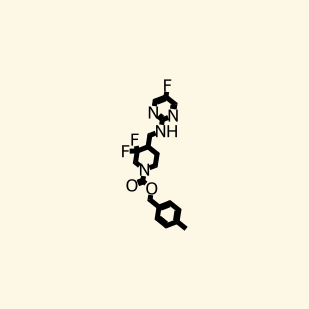 Cc1ccc(COC(=O)N2CCC(CNc3ncc(F)cn3)C(F)(F)C2)cc1